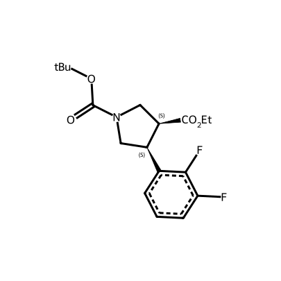 CCOC(=O)[C@@H]1CN(C(=O)OC(C)(C)C)C[C@@H]1c1cccc(F)c1F